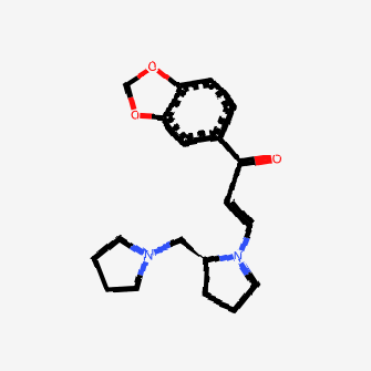 O=C(/C=C/N1CCC[C@H]1CN1CCCC1)c1ccc2c(c1)OCO2